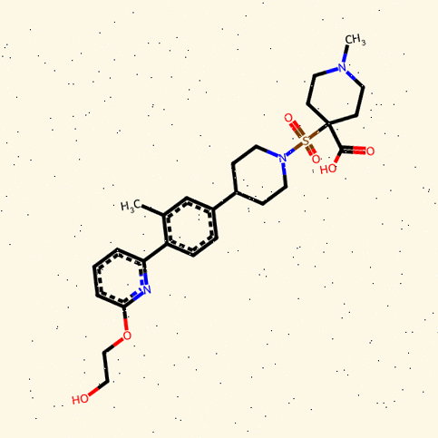 Cc1cc(C2CCN(S(=O)(=O)C3(C(=O)O)CCN(C)CC3)CC2)ccc1-c1cccc(OCCO)n1